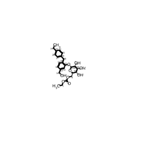 CCOC(=O)OC[C@H]1O[C@@H](Oc2cc(CO)ccc2Cc2ccc(CC)cc2)[C@H](O)[C@@H](O)[C@@H]1O